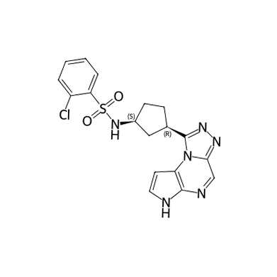 O=S(=O)(N[C@H]1CC[C@@H](c2nnc3cnc4[nH]ccc4n23)C1)c1ccccc1Cl